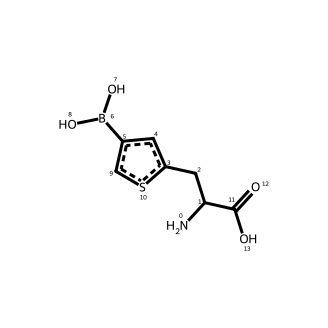 NC(Cc1cc(B(O)O)cs1)C(=O)O